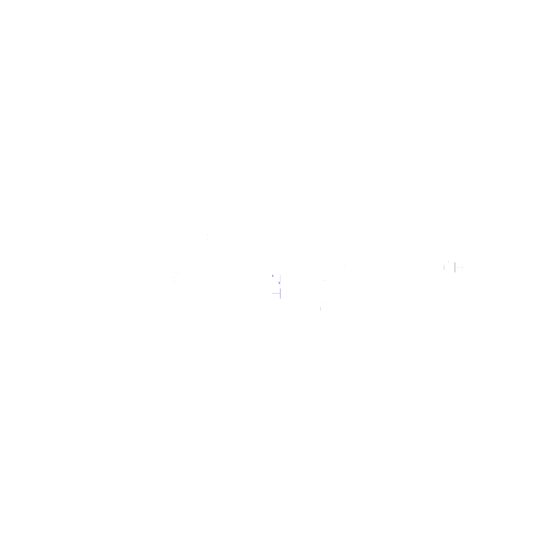 CCCCOC(=O)CNCCC(=O)OCc1ccccc1